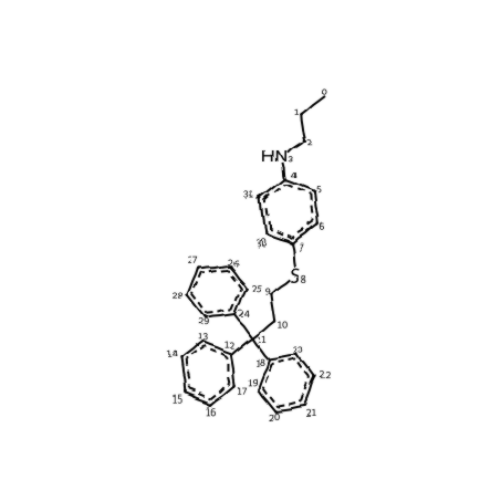 CCCNc1ccc(SCCC(c2ccccc2)(c2ccccc2)c2ccccc2)cc1